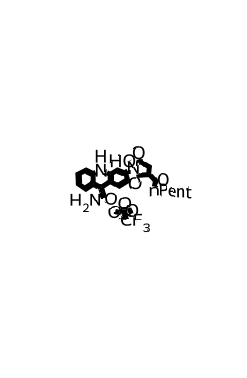 CCCCCC(=O)C1CC(=O)[N+](O)(c2ccc3c(c2)Nc2ccccc2C3C(N)=O)C1=O.O=S(=O)([O-])C(F)(F)F